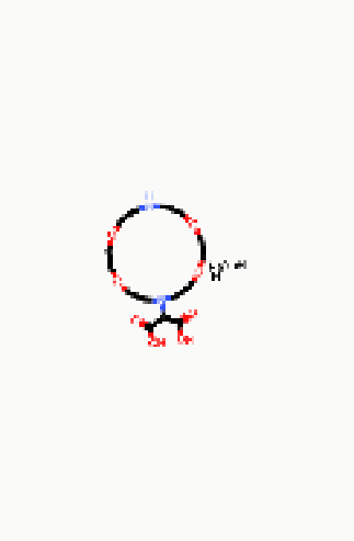 O=C(O)C(C(=O)O)N1CCOCCOCCNCCOCCOCC1.[NaH].[NaH]